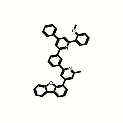 COc1ccccc1-c1cc(-c2ccccc2)cc(-c2cccc(-c3cc(-c4cccc5c4oc4ccccc45)cc(C)n3)c2)n1